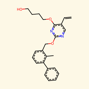 C=Cc1cnc(OCc2cccc(-c3ccccc3)c2C)nc1OCCCCO